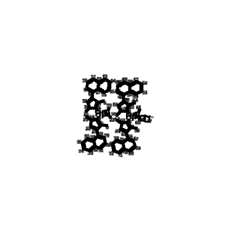 CC1=[C]([Hf]([C]2=C(C)C(c3cccc4ccccc34)=CC2C)=[Si](C)C)C(C)C=C1c1cccc2ccccc12.CC1=[C]([Hf]([C]2=C(C)C(c3cccc4ccccc34)=CC2C)=[Si](C)C)C(C)C=C1c1cccc2ccccc12.[Cl-].[Cl-]